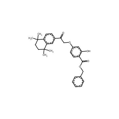 CC1(C)CCC(C)(C)c2cc(C(=O)COc3ccc(C(=O)OCc4ccccc4)c(O)c3)ccc21